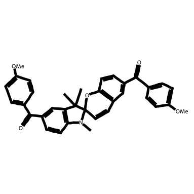 COc1ccc(C(=O)c2ccc3c(c2)C=CC2(O3)N(C)c3ccc(C(=O)c4ccc(OC)cc4)cc3C2(C)C)cc1